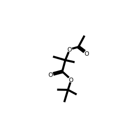 CC(=O)OC(C)(C)C(=O)OC(C)(C)C